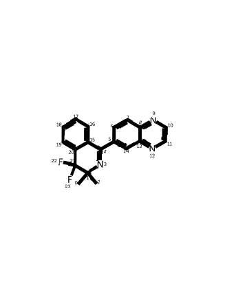 CC1(C)N=C(c2ccc3nccnc3c2)c2ccccc2C1(F)F